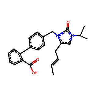 CC=CCc1cn(C(C)C)c(=O)n1Cc1ccc(-c2ccccc2C(=O)O)cc1